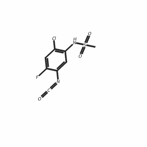 CS(=O)(=O)Nc1cc(N=C=O)c(F)cc1Cl